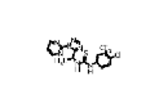 CC(NC(=S)Nc1ccc(Cl)c(C(F)(F)F)c1)c1ncnn1-c1ncccn1